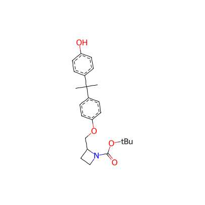 CC(C)(C)OC(=O)N1CCC1COc1ccc(C(C)(C)c2ccc(O)cc2)cc1